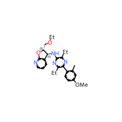 CCOC[C@H]1Oc2ncccc2[C@@H]1Nc1nc(CC)c(-c2ccc(OC)cc2C)nc1CC